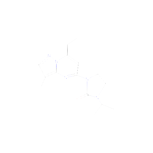 CCc1cc(N2CCN(C(C)C)C2=O)nc2c(C)cnn12